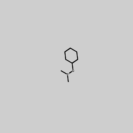 C[S+](C)OC1CCCCC1